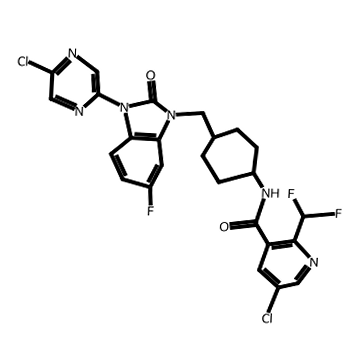 O=C(NC1CCC(Cn2c(=O)n(-c3cnc(Cl)cn3)c3ccc(F)cc32)CC1)c1cc(Cl)cnc1C(F)F